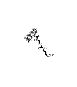 C[15N]1[13CH2][13CH2][15N]([13CH2][13CH]2[13CH2][13CH2][13CH2][15N]2[13CH2]C(=O)NCC[13CH2]C(=O)NCCCC(=O)O)[13CH2][13CH2]1